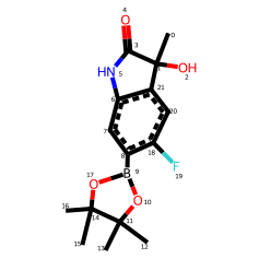 CC1(O)C(=O)Nc2cc(B3OC(C)(C)C(C)(C)O3)c(F)cc21